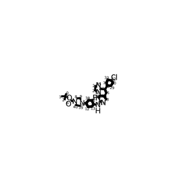 CC(C)(C)OC(=O)N1CCN(c2ccc(Nc3ncc4c(n3)N3CCN=C3C(c3ccc(Cl)cc3)=C4)c(F)c2)CC1